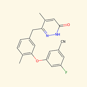 Cc1ccc(Cc2n[nH]c(=O)cc2C)cc1Oc1cc(F)cc(C#N)c1